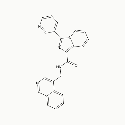 O=C(NCc1cncc2ccccc12)c1nc(-c2cccnc2)n2ccccc12